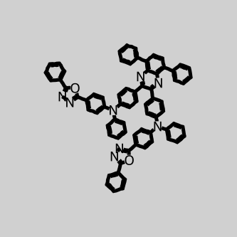 c1ccc(-c2nnc(-c3ccc(N(c4ccccc4)c4ccc(-c5nc6c(-c7ccccc7)ccc(-c7ccccc7)c6nc5-c5ccc(N(c6ccccc6)c6ccc(-c7nnc(-c8ccccc8)o7)cc6)cc5)cc4)cc3)o2)cc1